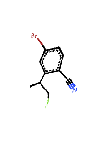 C[C](CF)c1cc(Br)ccc1C#N